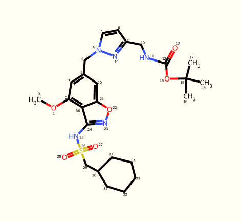 COc1cc(Cn2ccc(CNC(=O)OC(C)(C)C)n2)cc2onc(NS(=O)(=O)CC3CCCCC3)c12